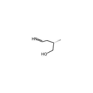 C[C@H](CO)CC=N